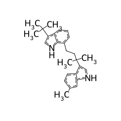 Cc1ccc2c(C(C)(C)CCc3cccc4c(C(C)(C)C)c[nH]c34)c[nH]c2c1